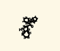 O=C(NC1CC2CCC(C1)N2Cc1ccccc1)c1c[nH]c2ncccc12